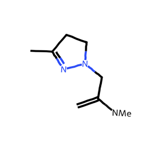 C=C(CN1CCC(C)=N1)NC